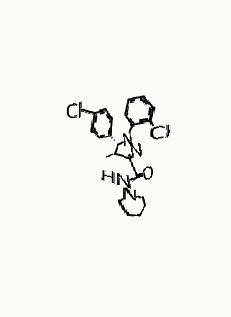 C[C@@H]1C(C(=O)NN2CCCCC2)=NN(c2ccccc2Cl)[C@H]1c1ccc(Cl)cc1